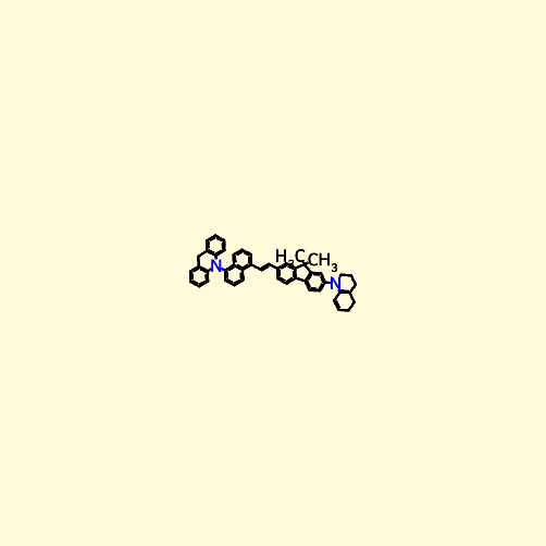 CC1(C)c2cc(/C=C/c3cccc4c(N5c6ccccc6Cc6ccccc65)cccc34)ccc2-c2ccc(N3CCCC4=C3C=CCC4)cc21